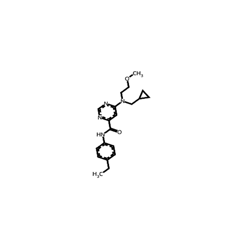 CCc1ccc(NC(=O)c2cc(N(CCOC)CC3CC3)ncn2)cc1